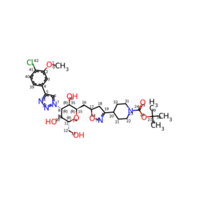 COc1cc(-c2cn([C@H]3[C@@H](O)[C@@H](CO)O[C@H](CC4CC(C5CCN(C(=O)OC(C)(C)C)CC5)=NO4)[C@@H]3O)nn2)ccc1Cl